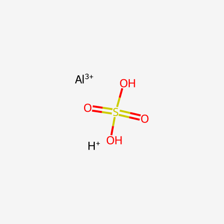 O=S(=O)(O)O.[Al+3].[H+]